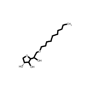 CCCCCCCCCCOCC(O)C1OC[C@@H](O)C1O